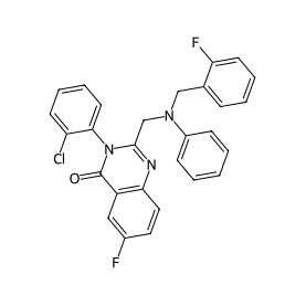 O=c1c2cc(F)ccc2nc(CN(Cc2ccccc2F)c2ccccc2)n1-c1ccccc1Cl